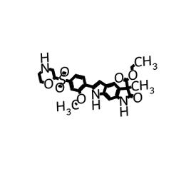 CCOC(=O)C1(C)C(=O)Nc2cc3[nH]c(-c4ccc(S(=O)(=O)C5CNCCO5)cc4OC)cc3cc21